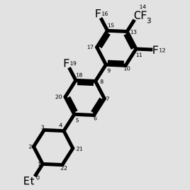 CCC1CCC(c2ccc(-c3cc(F)c(C(F)(F)F)c(F)c3)c(F)c2)CC1